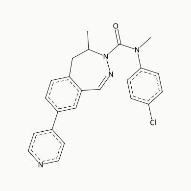 CC1Cc2ccc(-c3ccncc3)cc2C=NN1C(=O)N(C)c1ccc(Cl)cc1